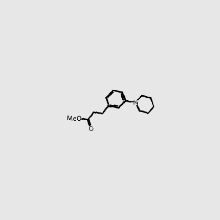 COC(=O)CCc1cccc(N2CCCCC2)c1